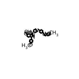 COc1ccc(-c2nnc(NC3CCN(Cc4ccc(N5CCC6(CCN(C)C6)C5)cc4)CC3)c3cc(OC)ccc23)cc1